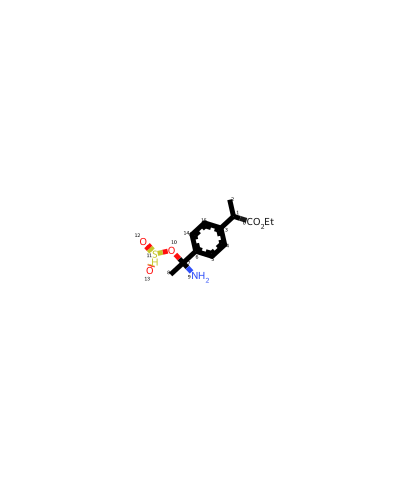 CCOC(=O)C(C)c1ccc(C(C)(N)O[SH](=O)=O)cc1